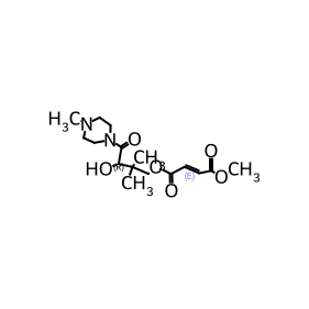 COC(=O)/C=C/C(=O)OCC(C)(C)[C@@H](O)C(=O)N1CCN(C)CC1